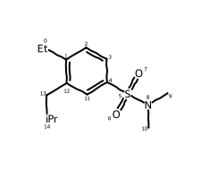 CCc1ccc(S(=O)(=O)N(C)C)cc1CC(C)C